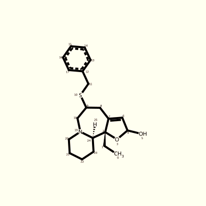 CC[C@]12OC(O)C=C1CC(SCc1ccccc1)CN1CCCC[C@@H]12